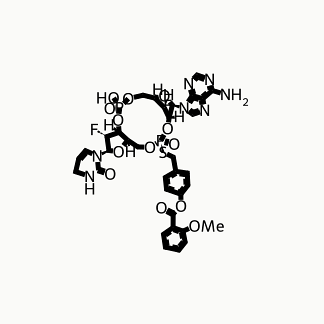 COc1ccccc1C(=O)Oc1ccc(CS[P@@]2(=O)OC[C@H]3O[C@@H](N4C=CCNC4=O)[C@H](F)[C@@H]3OP(=O)(O)OC[C@H]3O[C@@H](n4cnc5c(N)ncnc54)[C@H](O2)[C@@H]3F)cc1